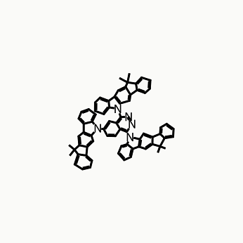 CC1(C)c2ccccc2-c2cc3c(cc21)c1ccccc1n3-c1ccc2c(-n3c4ccccc4c4cc5c(cc43)-c3ccccc3C5(C)C)nnc(-n3c4ccccc4c4cc5c(cc43)-c3ccccc3C5(C)C)c2c1